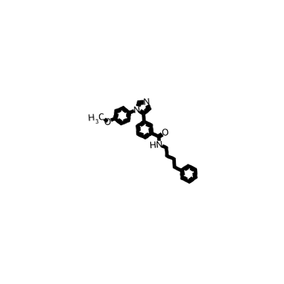 COc1ccc(-n2cncc2-c2cccc(C(=O)NCCCCc3ccccc3)c2)cc1